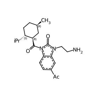 CC(=O)c1ccc2c(c1)n(CCN)c(=O)n2C(=O)[C@@H]1C[C@H](C)CC[C@H]1C(C)C